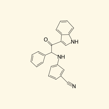 N#Cc1cccc(NC(C(=O)c2c[nH]c3ccccc23)c2ccccc2)c1